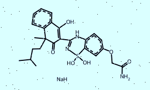 CC(C)CCC1(C)C(=O)C(C2=NS(O)(O)c3cc(OCC(N)=O)ccc3N2)=C(O)c2ccccc21.[NaH]